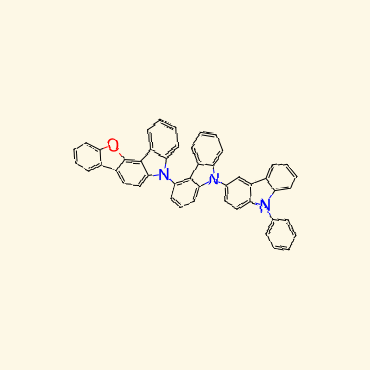 c1ccc(-n2c3ccccc3c3cc(-n4c5ccccc5c5c(-n6c7ccccc7c7c8oc9ccccc9c8ccc76)cccc54)ccc32)cc1